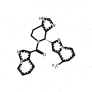 O=C(c1cnn2ccccc12)N1CCc2[nH]cnc2[C@@H]1c1cc2c(C(F)(F)F)cccn2n1